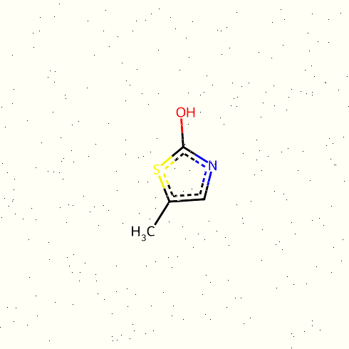 Cc1cnc(O)s1